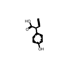 C=CC(C(=O)O)c1ccc(O)cc1